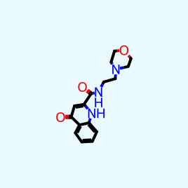 O=C(NCCN1CCOCC1)c1cc(=O)c2ccccc2[nH]1